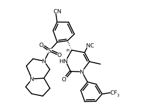 [C-]#[N+]C1=C(C)N(c2cccc(C(F)(F)F)c2)C(=O)N[C@@H]1c1ccc(C#N)cc1S(=O)(=O)N1CCN2CCCCC2C1